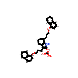 O=C(O)Oc1[nH]c2c(CCCOc3cccc4ccccc34)cccc2c1CCCOc1cccc2ccccc12